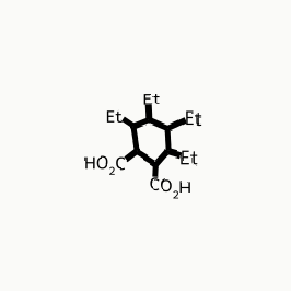 CCC1C(CC)C(CC)C(C(=O)O)C(C(=O)O)C1CC